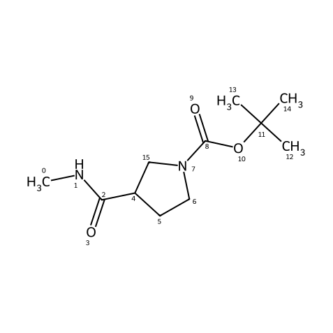 CNC(=O)C1CCN(C(=O)OC(C)(C)C)C1